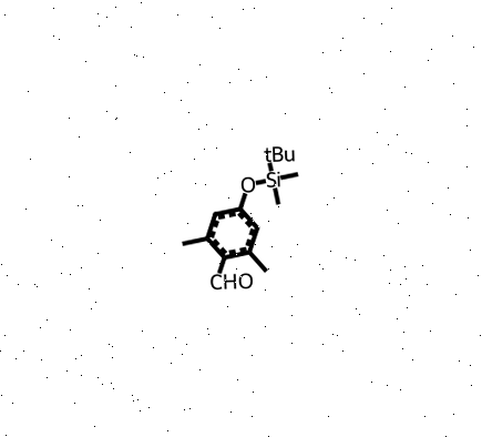 Cc1cc(O[Si](C)(C)C(C)(C)C)cc(C)c1C=O